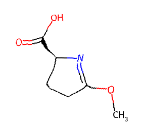 COC1=N[C@H](C(=O)O)CC1